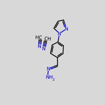 C#N.C#N.NN=Cc1ccc(-n2cccn2)cc1